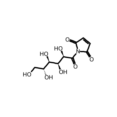 O=C1C=CC(=O)N1C(=O)[C@H](O)[C@@H](O)[C@H](O)[C@H](O)CO